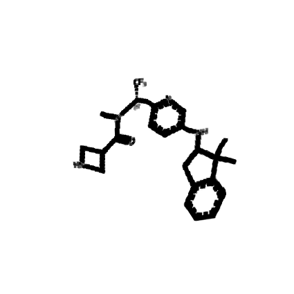 CN(C(=O)C1CNC1)[C@@H](c1ccc(NC2Cc3ccccc3C2(C)C)cn1)C(F)(F)F